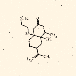 C=C(C)C1CCC2([Se]CCCCCCCCCCCC)CC(=O)CC(C)C2(C)C1